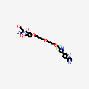 CNC(=O)C(CCC=O)N1C(=O)c2ccc(OCCCCCCOCCCCCOCC(F)(F)c3ccc(-c4ccc5c6cnccc6n(C)c5c4)cn3)cc2C1=O